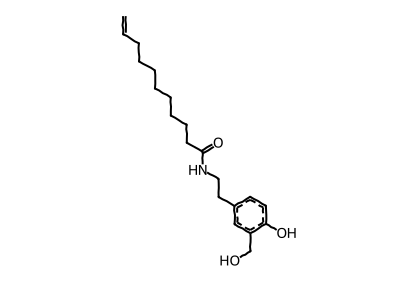 C=CCCCCCCCCC(=O)NCCc1ccc(O)c(CO)c1